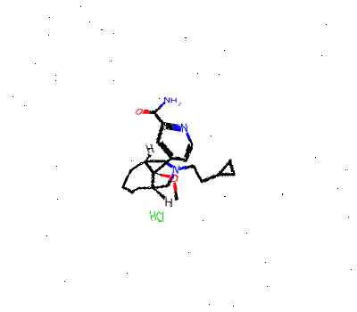 CO[C@]1(c2ccnc(C(N)=O)c2)[C@@H]2CCC[C@H]1CN(CCC1CC1)C2.Cl